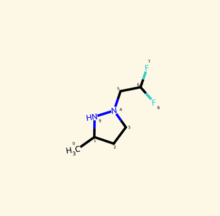 CC1CCN(CC(F)F)N1